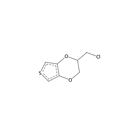 ClCC1COc2cscc2O1